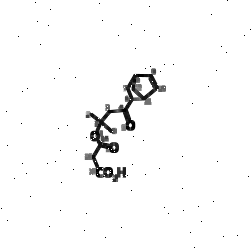 CC(C)(CC(=O)C1CC2C=CC1C2)OC(=O)CC(=O)O